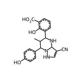 CC1C(c2cccc(C(=O)O)c2O)NC2C(C#N)=CNN2C1c1ccc(O)cc1